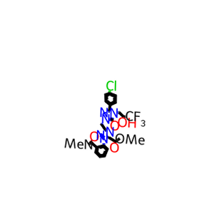 CNC(=O)c1ccccc1-n1nc(Cn2nc(-c3ccc(Cl)cc3)n(CC(O)C(F)(F)F)c2=O)nc1C(=O)OC